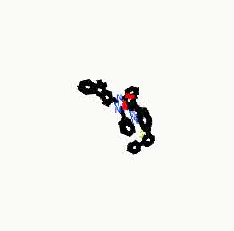 CC1(C)c2ccccc2-c2ccc(-c3nc(-c4ccccc4)nc(-c4ccccc4-n4c5ccccc5c5ccc6c7cccc(-c8ccccc8)c7sc6c54)n3)cc21